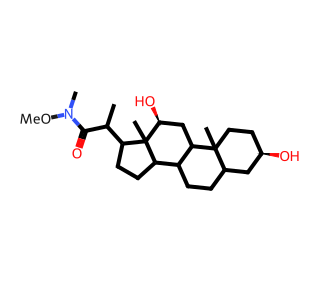 CON(C)C(=O)C(C)C1CCC2C3CCC4C[C@H](O)CCC4(C)C3C[C@H](O)C12C